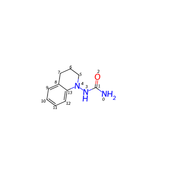 NC(=O)NN1CCCc2ccccc21